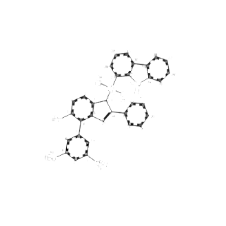 CC(C)c1ccc2c(c1-c1cc(C(C)(C)C)cc(C(C)(C)C)c1)C=C(c1ccccc1)[CH]2[Zr]([Cl])([Cl])[c]1cccc2c1[SiH2]c1ccccc1-2